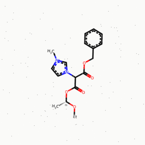 CCO[C@H](C)OC(=O)C(C(=O)OCc1ccccc1)n1cc[n+](C)c1